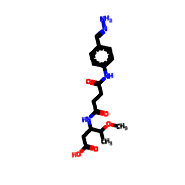 COC(C)C(CC(=O)O)NC(=O)CCC(=O)Nc1ccc(C=NN)cc1